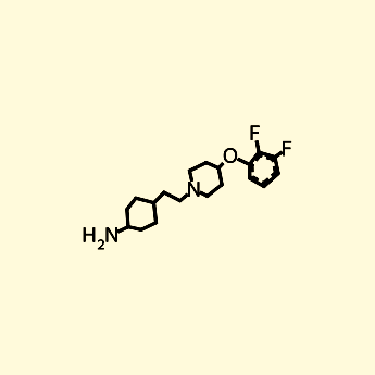 NC1CCC(CCN2CCC(Oc3cccc(F)c3F)CC2)CC1